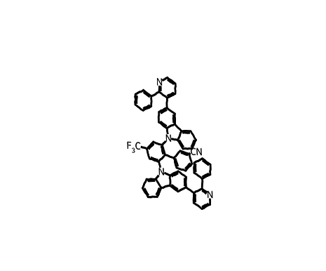 N#Cc1cccc(-c2c(-n3c4ccccc4c4cc(-c5cccnc5-c5ccccc5)ccc43)cc(C(F)(F)F)cc2-n2c3ccccc3c3cc(-c4cccnc4-c4ccccc4)ccc32)c1